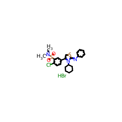 Br.CN(C)S(=O)(=O)c1cc(-c2csc(=Nc3ccccc3)n2C2CCCCC2)ccc1Cl